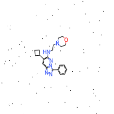 c1ccc(-c2nnc3cc(C4CCC4)c(NCCN4CCOCC4)nn23)cc1